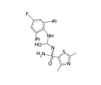 Cc1nc(C)c(S(N)(=O)=NC(O)Nc2c(C(C)C)cc(F)cc2C(C)C)s1